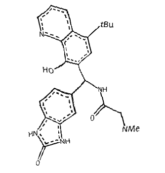 CNCC(=O)NC(c1ccc2[nH]c(=O)[nH]c2c1)c1cc(C(C)(C)C)c2cccnc2c1O